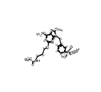 COc1nc2c(N)nc(OCCCNC(=O)OC(C)(C)C)nc2n1Cc1cccc(P(=O)(O)OC)c1